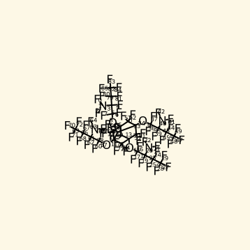 FN(F)C(F)(C(F)(F)OC12C(F)(F)C3(OC(F)(F)C(F)(N(F)F)C(F)(F)C(F)(F)F)C(F)(F)C(OC(F)(F)C(F)(N(F)F)C(F)(F)C(F)(F)F)(C1(F)F)C(F)(F)C(OC(F)(F)C(F)(N(F)F)C(F)(F)C(F)(F)F)(C2(F)F)C3(F)F)C(F)(F)C(F)(F)F